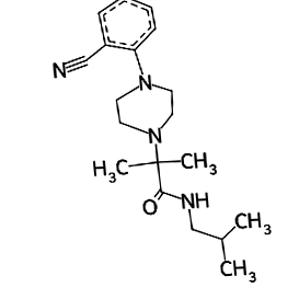 CC(C)CNC(=O)C(C)(C)N1CCN(c2ccccc2C#N)CC1